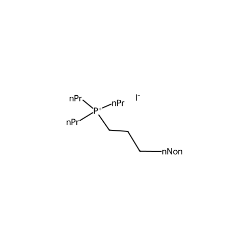 CCCCCCCCCCCC[P+](CCC)(CCC)CCC.[I-]